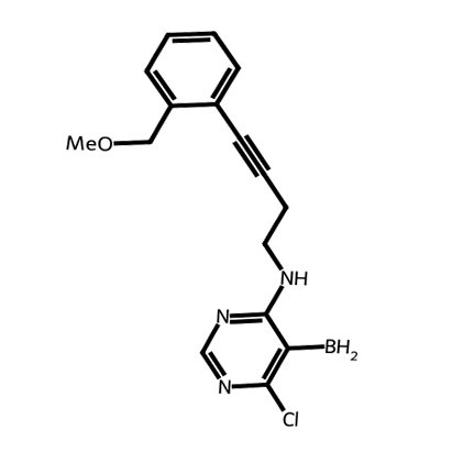 Bc1c(Cl)ncnc1NCCC#Cc1ccccc1COC